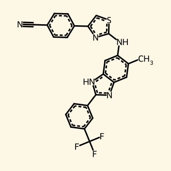 Cc1cc2nc(-c3cccc(C(F)(F)F)c3)[nH]c2cc1Nc1nc(-c2ccc(C#N)cc2)cs1